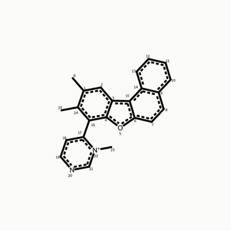 Cc1cc2c(oc3ccc4ccccc4c32)c(-c2ccnc[n+]2C)c1C